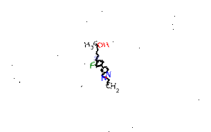 C=CCc1ncc2cc(-c3ccc(/C=C/CCCC(C)O)c(F)c3)ccc2n1